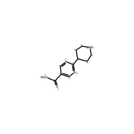 COC(=O)c1cnc(C2CCNCC2)nc1